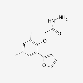 Cc1cc(C)c(OCC(=O)NN)c(-c2ccco2)c1